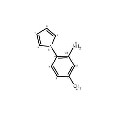 Cc1ccc(-n2cccc2)c(N)c1